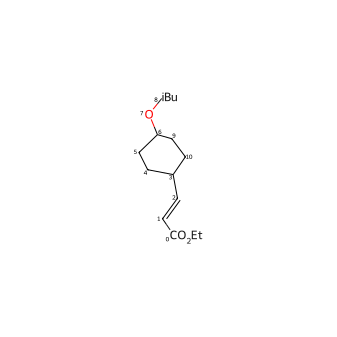 CCOC(=O)C=CC1CCC(OC(C)CC)CC1